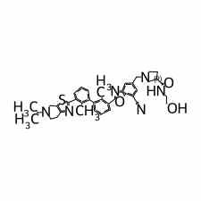 Cc1c(-c2nc3cc(CN4CC[C@@H](C(=O)NCCO)C4)cc(C#N)c3o2)cccc1-c1cccc(-c2nc3c(s2)CN(C(C)C)CC3)c1C